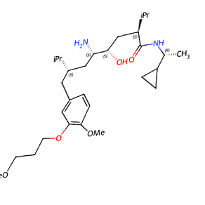 COCCCOc1cc(C[C@@H](C[C@H](N)[C@@H](O)C[C@H](C(=O)N[C@H](C)C2CC2)C(C)C)C(C)C)ccc1OC